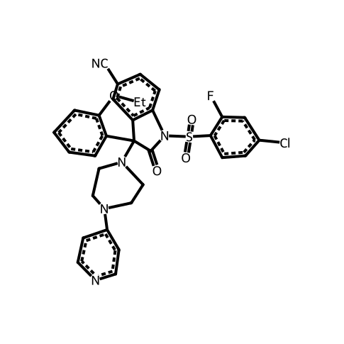 CCOc1ccccc1C1(N2CCN(c3ccncc3)CC2)C(=O)N(S(=O)(=O)c2ccc(Cl)cc2F)c2ccc(C#N)cc21